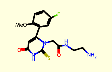 COc1ccc(F)cc1-c1cc(=O)[nH]c(=S)n1CC(=O)NCCN